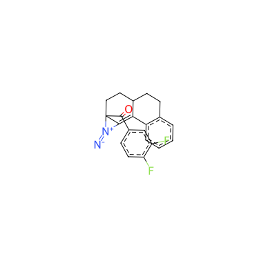 [N-]=[N+]1C2=C3c4ccccc4CCC3CCC21C(=O)c1ccc(F)c(F)c1